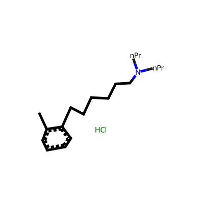 CCCN(CCC)CCCCCCc1ccccc1C.Cl